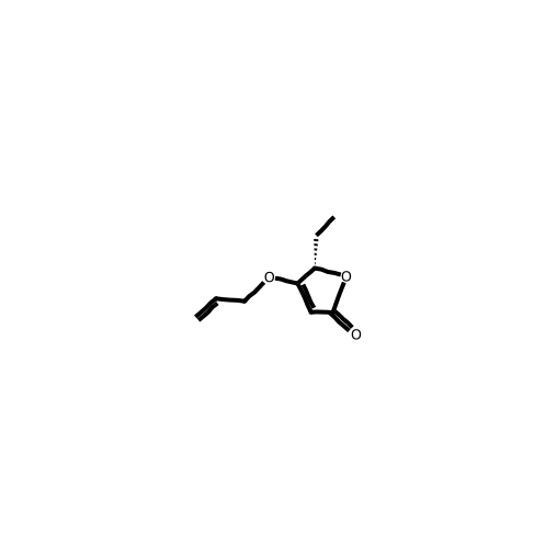 C=CCOC1=CC(=O)O[C@H]1CC